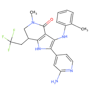 Cc1ccccc1Nc1c(-c2ccnc(N)c2)[nH]c2c1C(=O)N(C)CC2CC(F)(F)F